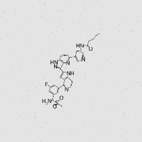 CCCCC(=O)Nc1cncc(-c2ccc3[nH]nc(-c4cc5c(-c6cc(F)cc(C(N)S(C)(=O)=O)c6)nccc5[nH]4)c3n2)c1